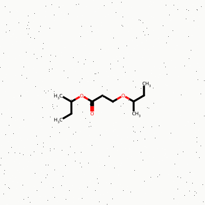 CCC(C)OCCC(=O)OC(C)CC